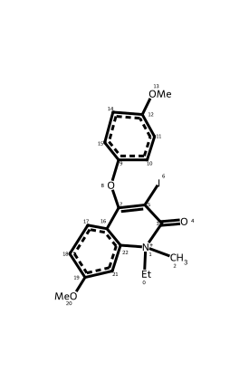 CC[N+]1(C)C(=O)C(I)=C(Oc2ccc(OC)cc2)c2ccc(OC)cc21